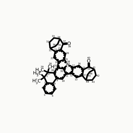 CC1(C)c2ccccc2-c2cc3c4cc5c(cc4n4c6cc7c(cc6c(c2C1(C)C)c34)C1CCC(CC1)C7=O)C(=O)C1CCC5CC1